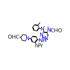 CCCc1cc(N2CCC(C=O)CC2)ccc1Nc1ncc(N(C)C=O)c(N(C)c2ccccc2C)n1